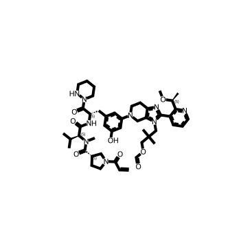 C=CC(=O)N1CC[C@H](C(=O)N(C)[C@H](C(=O)N[C@@H](Cc2cc(O)cc(N3CCc4nc(-c5cccnc5[C@H](C)OC)n(CC(C)(C)COC=O)c4C3)c2)C(=O)N2CCCCN2)C(C)C)C1